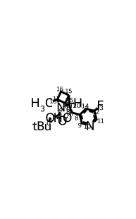 CC(C)(C)OC(=O)N1[C@@H]([C@@H](O)c2cncc(F)c2)C2CC1(C)C2